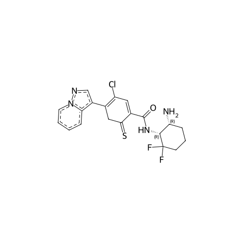 N[C@@H]1CCCC(F)(F)[C@@H]1NC(=O)C1=CC(Cl)=C(c2cnn3ccccc23)CC1=S